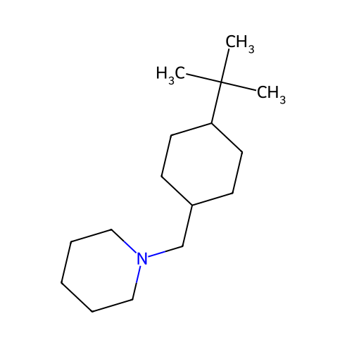 CC(C)(C)C1CCC(CN2CCCCC2)CC1